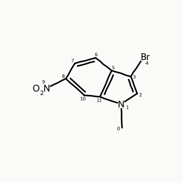 Cn1cc(Br)c2ccc([N+](=O)[O-])cc21